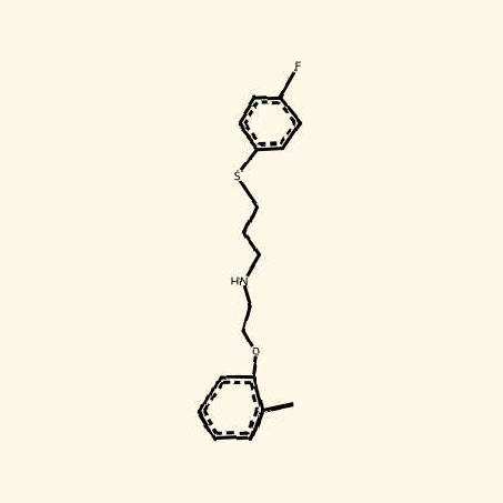 Cc1ccccc1OCCNCCCSc1ccc(F)cc1